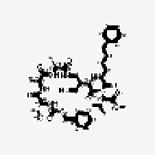 COC(=O)[C@H](C(C)C)N(C(=O)CCCCCc1ccccc1)C(=O)[C@@H](N)C(CO)CNC(=O)[C@H](C)NC(=O)[C@H](C)NC(=O)[C@@H](CO)NC(=O)OCc1ccccc1